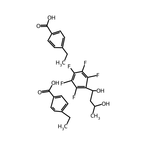 CC(O)CC(O)c1c(F)c(F)c(F)c(F)c1F.CCc1ccc(C(=O)O)cc1.CCc1ccc(C(=O)O)cc1